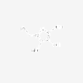 CCCc1c(O)c(C(C)(C)C)nn1CC(C)C